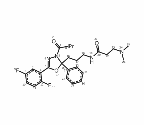 CC(C)C(=O)N1N=C(c2cc(F)ccc2F)OC1(CCCNC(=O)CCN(C)C)c1ccccc1